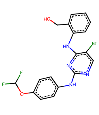 OCc1ccccc1Nc1nc(Nc2ccc(OC(F)F)cc2)ncc1Br